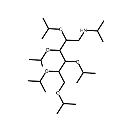 CC(C)NCC(OC(C)C)C(OC(C)C)C(OC(C)C)C(COC(C)C)OC(C)C